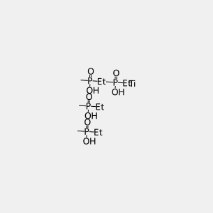 CCP(C)(=O)O.CCP(C)(=O)O.CCP(C)(=O)O.CCP(C)(=O)O.[Ti]